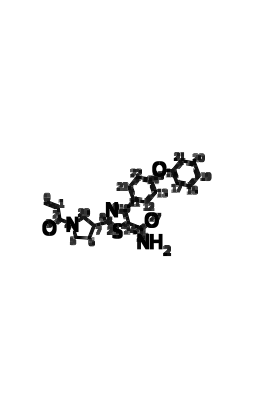 C=CC(=O)N1CCC(c2nc(-c3ccc(Oc4ccccc4)cc3)c(C(N)=O)s2)C1